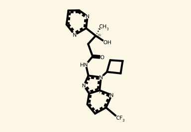 C[C@](O)(CC(=O)Nc1nc2ccc(C(F)(F)F)nc2n1C1CCC1)c1ncccn1